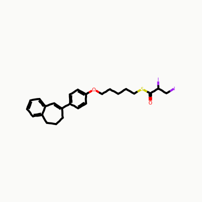 O=C(SCCCCCOc1ccc(C2=Cc3ccccc3CCC2)cc1)C(I)CI